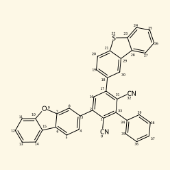 N#Cc1c(-c2ccc3c(c2)oc2ccccc23)cc(-c2ccc3sc4ccccc4c3c2)c(C#N)c1-c1ccccc1